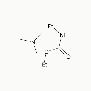 CCNC(=O)OCC.CN(C)C